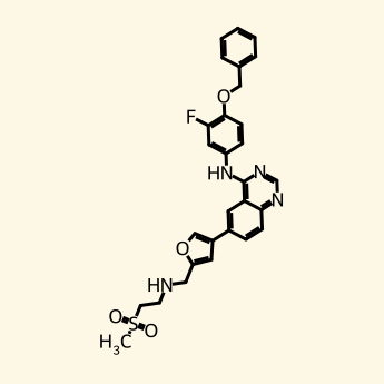 CS(=O)(=O)CCNCc1cc(-c2ccc3ncnc(Nc4ccc(OCc5ccccc5)c(F)c4)c3c2)co1